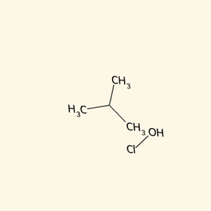 CC(C)C.OCl